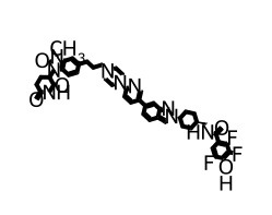 Cn1c(=O)n(C2CCC(=O)NC2=O)c2ccc(CCCN3CCN(c4ccc(-c5ccc6cn([C@H]7CC[C@H](CNC(=O)c8cc(F)c(O)c(F)c8F)CC7)nc6c5)cn4)CC3)cc21